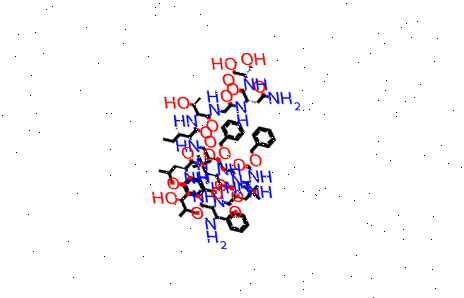 CC[C@H](C)[C@H](NC(=O)[C@@H](CCCN(C(=N)NC(=O)OCc1ccccc1)C(=O)OCc1ccccc1)NC(=O)[C@H](CC(C)C)NC(=O)[C@@H](NC(=O)[C@@H](NC(=O)[C@H](CC(C)(C)C)NC(=O)[C@@H](CC(C)(C)C)NC(=O)OCc1ccccc1)[C@H](N)c1ccccc1)[C@H](O)C(C)C)C(=O)N[C@H](C(=O)NCC(=O)N[C@@H](CC(N)=O)C(=O)N[C@@H](CO)C(=O)O)[C@H](C)O